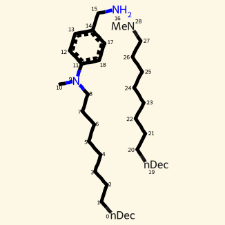 CCCCCCCCCCCCCCCCCCN(C)c1ccc(CN)cc1.CCCCCCCCCCCCCCCCCCNC